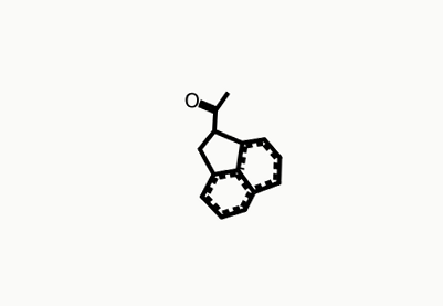 CC(=O)C1Cc2cccc3cccc1c23